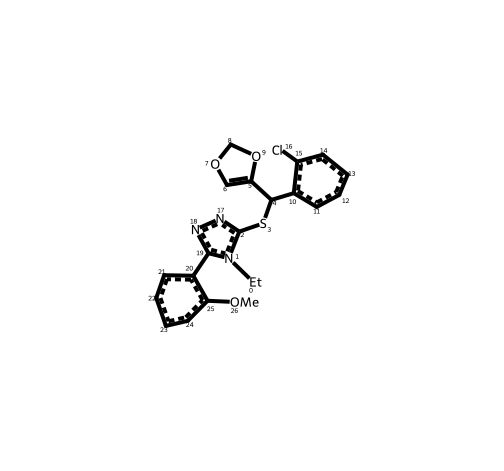 CCn1c(SC(C2=COCO2)c2ccccc2Cl)nnc1-c1ccccc1OC